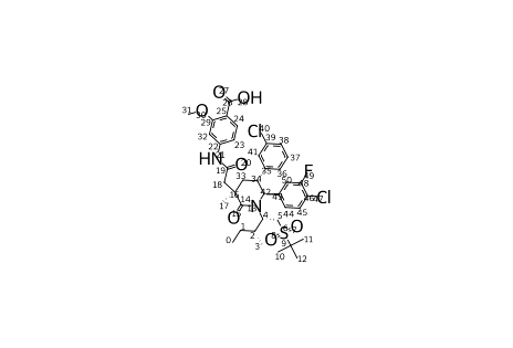 CC[C@@H](C)[C@@H](CS(=O)(=O)C(C)(C)C)N1C(=O)[C@@](C)(CC(=O)Nc2ccc(C(=O)O)c(OC)c2)C[C@H](c2cccc(Cl)c2)[C@H]1c1ccc(Cl)c(F)c1